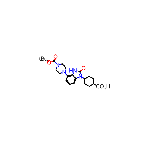 CC(C)(C)OC(=O)N1CCN(c2cccc3c2[nH]c(=O)n3C2CCC(C(=O)O)CC2)CC1